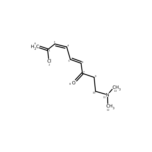 C=C(Cl)/C=C\C=C\C(=O)CCN(C)C